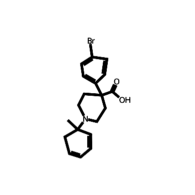 CC1(N2CCC(C(=O)O)(c3ccc(Br)cc3)CC2)C=CC=CC1